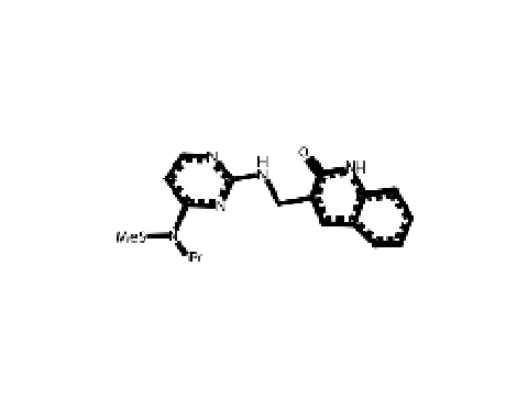 CSN(c1ccnc(NCc2cc3ccccc3[nH]c2=O)n1)C(C)C